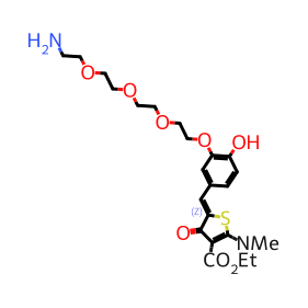 CCOC(=O)C1=C(NC)S/C(=C\c2ccc(O)c(OCCOCCOCCOCCN)c2)C1=O